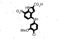 COc1cc(Nc2ccc([N+](=O)[O-])c3[nH]c(C(=O)O)cc23)ccc1Cl